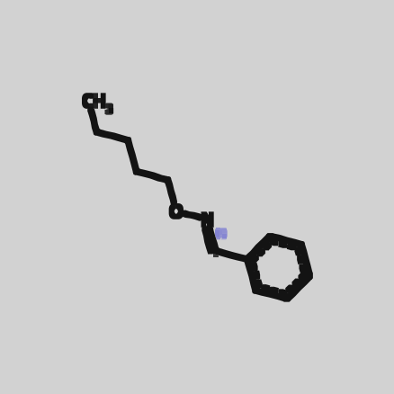 CCCCCO/N=[C]/c1ccccc1